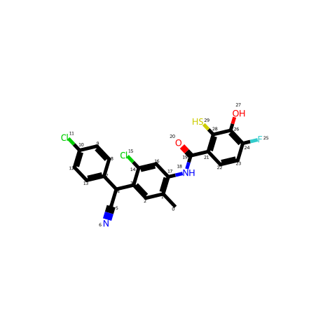 Cc1cc(C(C#N)c2ccc(Cl)cc2)c(Cl)cc1NC(=O)c1ccc(F)c(O)c1S